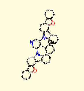 N#Cc1ccccc1-c1c(-n2c3ccccc3c3c4oc5ccccc5c4ccc32)cncc1-n1c2ccccc2c2c3oc4ccccc4c3ccc21